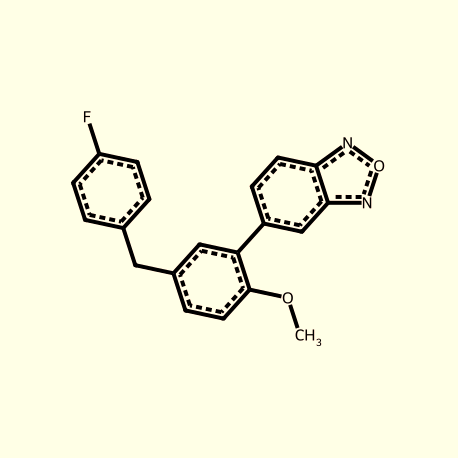 COc1ccc(Cc2ccc(F)cc2)cc1-c1ccc2nonc2c1